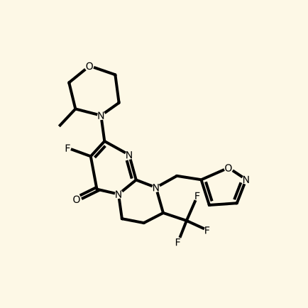 CC1COCCN1c1nc2n(c(=O)c1F)CCC(C(F)(F)F)N2Cc1ccno1